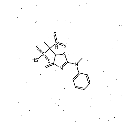 C=C1N=C(N(C)c2ccccc2)SC1C(C)([SH](=S)=S)S(=S)(=S)S